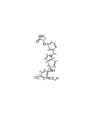 NC(=O)COc1cccc(Cn2ccc3cc(Nc4ccc(Cl)cc4C(=O)O)ccc32)c1